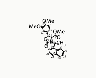 COC(=O)C1C(c2ccc(OC)c(OC)c2)OC(=O)N1C(C)c1cccc2ccccc12